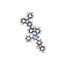 c1ccc(-c2cc(-c3ccc4c(c3)oc3ccccc34)nc(-c3cccc4oc5c(-c6ccc7c(c6)c6ccccc6n7-c6ccccc6)cccc5c34)n2)cc1